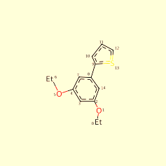 CCOc1cc(OCC)cc(-c2cccs2)c1